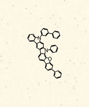 c1ccc(-c2cccc(-n3c4ccccc4c4cc5c6ccc7c8ccc(-c9ccccc9)cc8oc7c6n(-c6ccccc6)c5cc43)c2)cc1